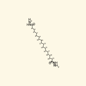 NNC(=O)CCCCCCCCCCCCCCCCCCC(=O)NN